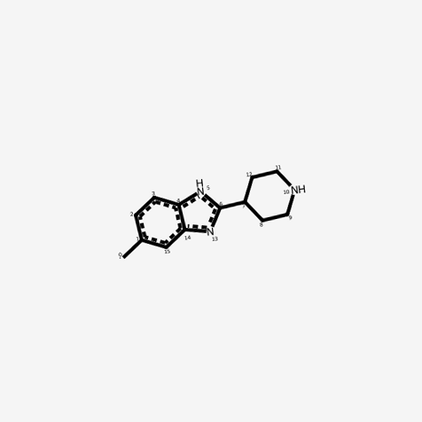 [CH2]c1ccc2[nH]c(C3CCNCC3)nc2c1